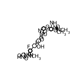 CCN(C)S(=O)(=O)Nc1ccc(F)c(Oc2ccc3ncn([C@H]4COC5(CCN(C6CCC(c7cc8c(cc7F)c(N7CCC(=O)NC7=O)nn8C)CC6O)CC5)C4)c(=O)c3c2)c1C#N